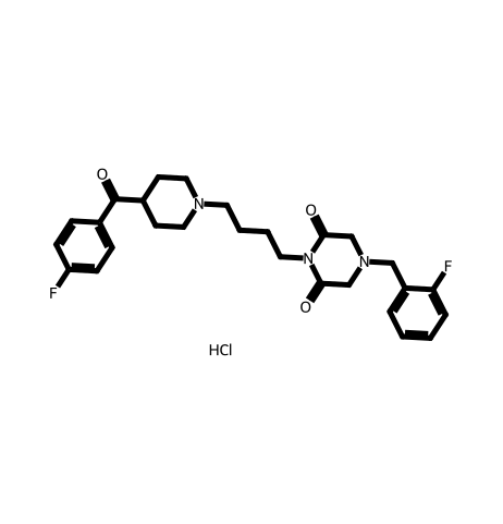 Cl.O=C(c1ccc(F)cc1)C1CCN(CCCCN2C(=O)CN(Cc3ccccc3F)CC2=O)CC1